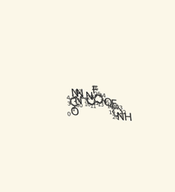 COc1ccc2nnc(-c3ccc4cc(OCC5(F)CCNCC5)cc(F)c4n3)n2c1